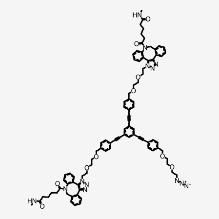 CNC(=O)CCCCC(=O)N1Cc2ccccc2-c2nnn(CCOCCOCc3ccc(C#Cc4cc(C#Cc5ccc(COCCOCCN=[N+]=[N-])cc5)cc(C#Cc5ccc(COCCOCCn6nnc7c6-c6ccccc6N(C(=O)CCCCC(=O)NC)Cc6ccccc6-7)cc5)c4)cc3)c2-c2ccccc21